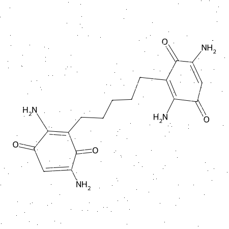 NC1=CC(=O)C(N)=C(CCCCCC2=C(N)C(=O)C=C(N)C2=O)C1=O